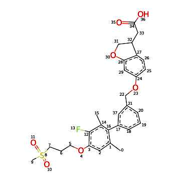 Cc1cc(OCCCS(C)(=O)=O)c(F)c(C)c1-c1cccc(COc2ccc3c(c2)OCC3CC(=O)O)c1